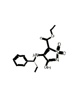 CCOC(=O)C1=C(N[C@H](CC)c2ccccc2)C(O)=NS1(=O)=O